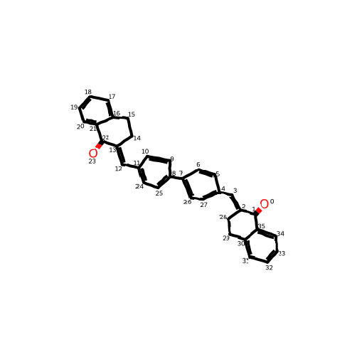 O=C1/C(=C/c2ccc(-c3ccc(/C=C4\CCc5ccccc5C4=O)cc3)cc2)CCc2ccccc21